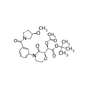 CO[C@@H]1CCN(C(=O)c2cccc(N3CCO[C@H]([C@@H](OC(C)=O)C(=O)OC(C)(C)C)C3=O)c2)C1